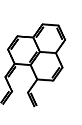 C=C/C=c1/ccc2c3c1C(C=C)C=CC3C=CC=2